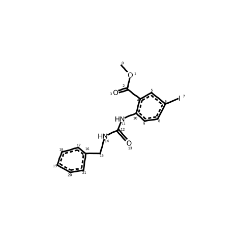 COC(=O)c1cc(I)ccc1NC(=O)NCc1ccccc1